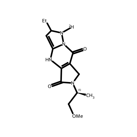 [2H]N1C(CC)C=C2NC3=C(CN([C@@H](C)COC)C3=O)C(=O)N21